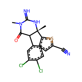 CN1C(=N)N[C@](C)(c2ccc(C#N)s2)C(c2ccc(Cl)c(Cl)c2)C1=O